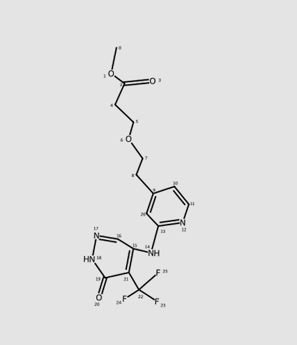 COC(=O)CCOCCc1ccnc(Nc2cn[nH]c(=O)c2C(F)(F)F)c1